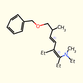 CCC(/C=C/C(C)COCc1ccccc1)=C(\CC)N(C)CC